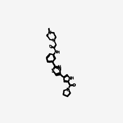 CN1CCN(CC(=O)Nc2cccc(-c3nc(-c4c[nH]c(C(=O)N5CCCC5)c4)cs3)c2)CC1